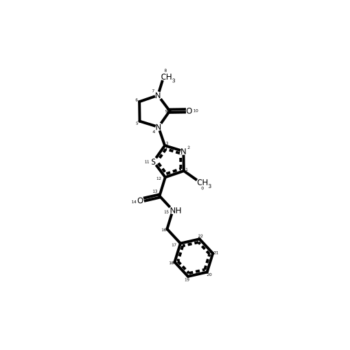 Cc1nc(N2CCN(C)C2=O)sc1C(=O)NCc1ccccc1